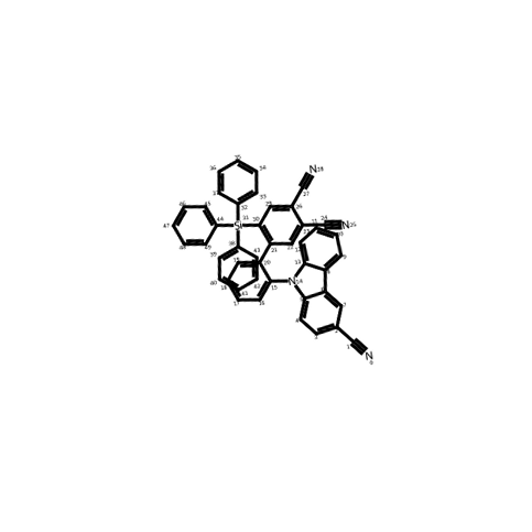 N#Cc1ccc2c(c1)c1ccccc1n2-c1ccccc1-c1cc(C#N)c(C#N)cc1[Si](c1ccccc1)(c1ccccc1)c1ccccc1